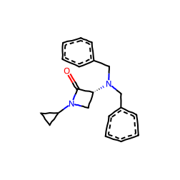 O=C1[C@H](N(Cc2ccccc2)Cc2ccccc2)CN1C1CC1